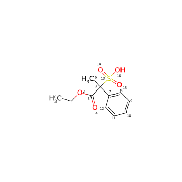 CCOC(=O)C(C)(c1ccccc1)S(=O)(=O)O